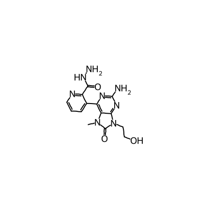 Cn1c(=O)n(CCO)c2nc(N)nc(-c3cccnc3C(=O)NN)c21